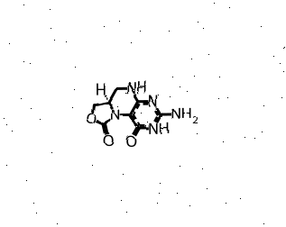 Nc1nc2c(c(=O)[nH]1)N1C(=O)OC[C@H]1CN2